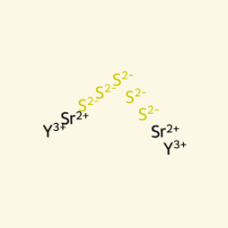 [S-2].[S-2].[S-2].[S-2].[S-2].[Sr+2].[Sr+2].[Y+3].[Y+3]